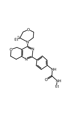 CCNC(=O)Nc1ccc(-c2nc3c(c(N4CCOC[C@@H]4CC)n2)COCC3)cc1